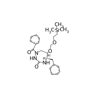 C[Si](C)(C)CCOCO[C@@H]1CN(C(=O)c2ccccc2)NC(=O)N[C@@H]1Cc1ccccc1